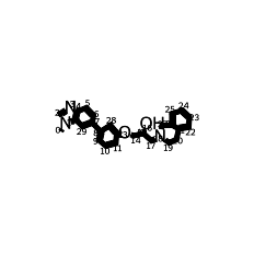 Cn1cnc2ccc(-c3cccc(OC[C@@H](O)CN4CCc5ccccc5C4)c3)cc21